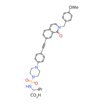 COc1ccc(Cn2ccc3ccc(C#Cc4ccc(N5CCN(S(=O)(=O)N[C@@H](C(=O)O)C(C)C)CC5)cc4)cc3c2=O)cc1